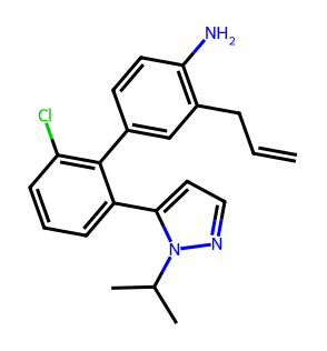 C=CCc1cc(-c2c(Cl)cccc2-c2ccnn2C(C)C)ccc1N